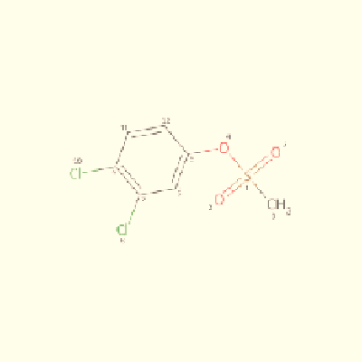 CS(=O)(=O)Oc1[c]c(Cl)c(Cl)cc1